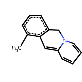 Cc1cccc2c1C=C1C=CC=CN1C2